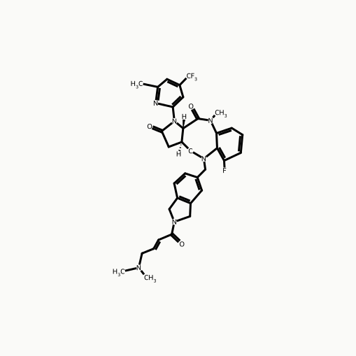 Cc1cc(C(F)(F)F)cc(N2C(=O)C[C@@H]3CN(Cc4ccc5c(c4)CN(C(=O)/C=C/CN(C)C)C5)c4c(F)cccc4N(C)C(=O)[C@H]32)n1